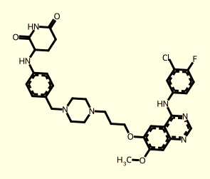 COc1cc2ncnc(Nc3ccc(F)c(Cl)c3)c2cc1OCCCN1CCN(Cc2ccc(NC3CCC(=O)NC3=O)cc2)CC1